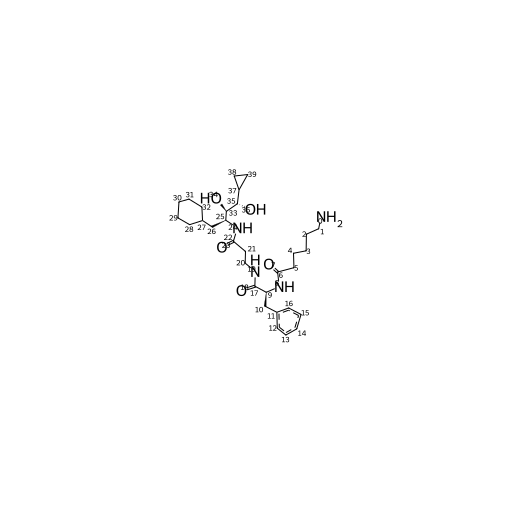 NCCCCCC(=O)N[C@@H](Cc1ccccc1)C(=O)NCCC(=O)N[C@@H](CC1CCCCC1)[C@@H](O)[C@@H](O)C1CC1